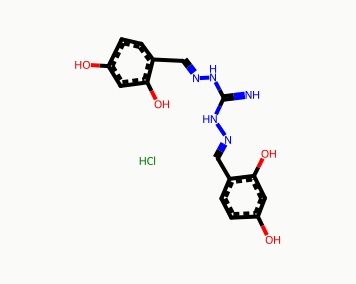 Cl.N=C(NN=Cc1ccc(O)cc1O)NN=Cc1ccc(O)cc1O